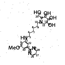 COc1cc(NCCCCCCN2CC(O)C(O)C(O)C2CO)cc(-c2ncccn2)c1